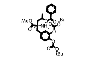 COC(=O)[C@](N)(Cc1ccc(OC(=O)OC(C)(C)C)c(OC(=O)OC(C)(C)C)c1)CC(C)OC(=O)c1ccccc1